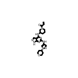 C=CC(=O)N1CCCC(Nc2nc(Nc3cnn(C4CCOCC4)c3)nc3[nH]ncc23)C1